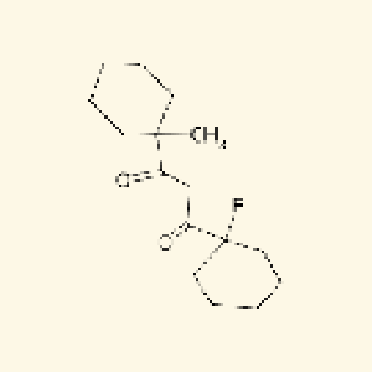 CC1(C(=O)CC(=O)C2(F)CCCCC2)CCCCC1